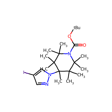 CC(C)(C)OC(=O)N1C(C)(C)C(C)(C)C(C)(n2cc(I)cn2)C(C)(C)C1(C)C